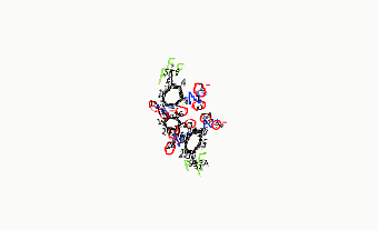 O=[N+]([O-])c1cc(C(F)(F)F)cc([N+](=O)[O-])c1Oc1ccccc1Oc1c([N+](=O)[O-])cc(C(F)(F)F)cc1[N+](=O)[O-]